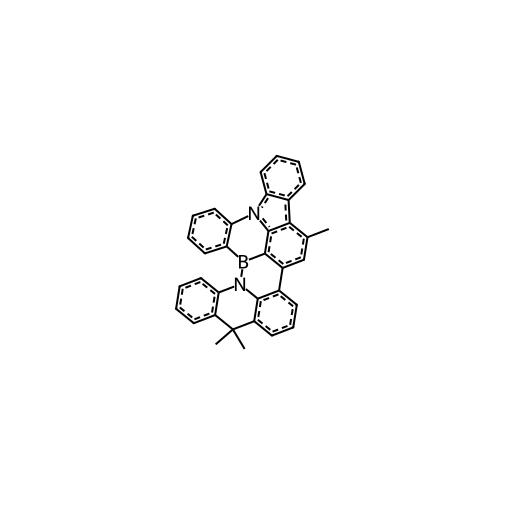 Cc1cc2c3c4c1c1ccccc1n4-c1ccccc1B3N1c3ccccc3C(C)(C)c3cccc-2c31